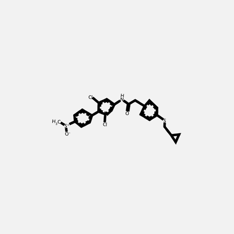 C[S+]([O-])c1ccc(-c2c(Cl)cc(NC(=O)Cc3ccc(SCC4CC4)cc3)cc2Cl)cc1